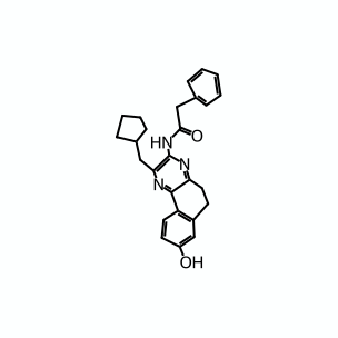 O=C(Cc1ccccc1)Nc1nc2c(nc1CC1CCCC1)-c1ccc(O)cc1CC2